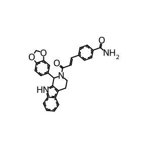 NC(=O)c1ccc(/C=C/C(=O)N2CCc3c([nH]c4ccccc34)C2c2ccc3c(c2)OCO3)cc1